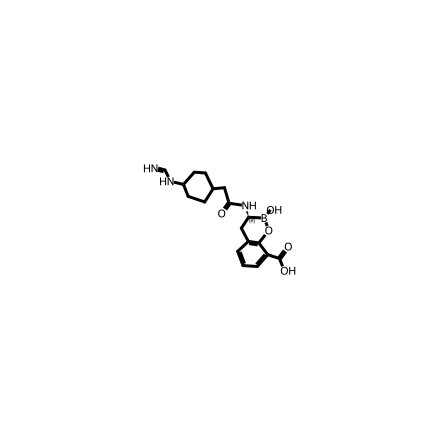 N=CNC1CCC(CC(=O)N[C@H]2Cc3cccc(C(=O)O)c3OB2O)CC1